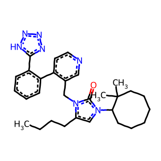 CCCCc1cn(C2CCCCCCC2(C)C)c(=O)n1Cc1cnccc1-c1ccccc1-c1nnn[nH]1